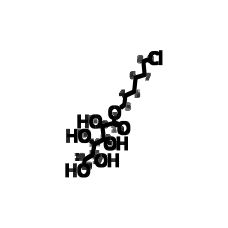 O=C(OCCCCCCCl)[C@H](O)[C@@H](O)[C@H](O)[C@H](O)CO